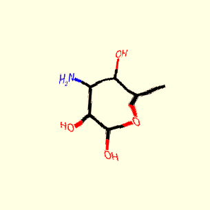 CC1OC(O)C(O)C(N)C1O